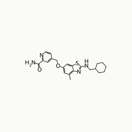 Cc1cc(OCc2ccnc(C(N)=O)c2)cc2sc(NCC3CCCCC3)nc12